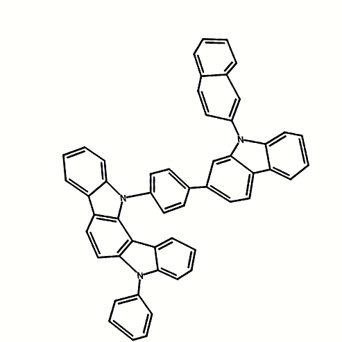 c1ccc(-n2c3ccccc3c3c2ccc2c4ccccc4n(-c4ccc(-c5ccc6c7ccccc7n(-c7ccc8ccccc8c7)c6c5)cc4)c23)cc1